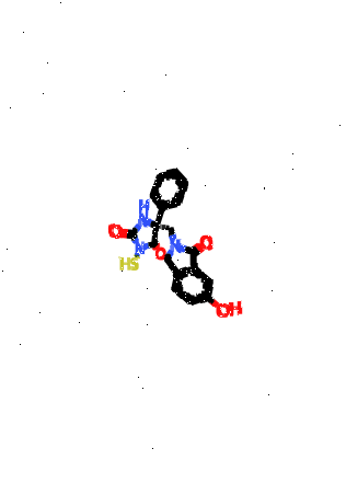 O=C1c2cc(O)ccc2CN1C[C@@]1(c2ccccc2)NC(=O)N(S)C1=O